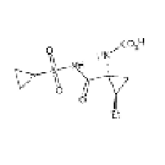 CC[C@@H]1C[C@]1(NC(=O)O)C(=O)NS(=O)(=O)C1CC1